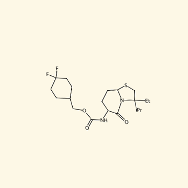 CCC1(C(C)C)CSC2CCC(NC(=O)OCC3CCC(F)(F)CC3)C(=O)N21